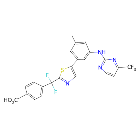 Cc1cc(Nc2nccc(C(F)(F)F)n2)cc(-c2cnc(C(F)(F)c3ccc(C(=O)O)cc3)s2)c1